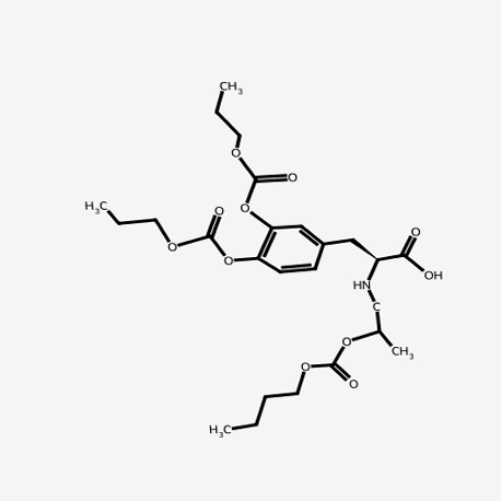 CCCCOC(=O)OC(C)CN[C@@H](Cc1ccc(OC(=O)OCCC)c(OC(=O)OCCC)c1)C(=O)O